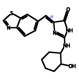 O=C1NC(NC2CCCCC2O)=N/C1=C\c1ccc2ncsc2c1